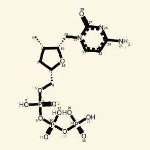 C[C@H]1C[C@@H](COP(=O)(O)OP(=O)(O)OP(=O)(O)O)O[C@H]1Cn1ccc(N)nc1=O